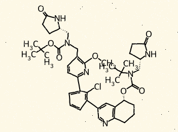 COc1nc(-c2cccc(-c3cnc4c(c3)[C@H](OC(=O)N(C[C@@H]3CCC(=O)N3)C(C)(C)C)CCC4)c2Cl)ccc1CN(C[C@@H]1CCC(=O)N1)C(=O)OC(C)(C)C